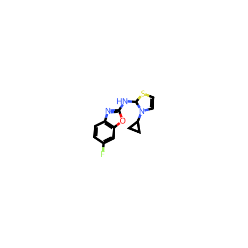 Fc1ccc2nc(NC3SC=CN3C3CC3)oc2c1